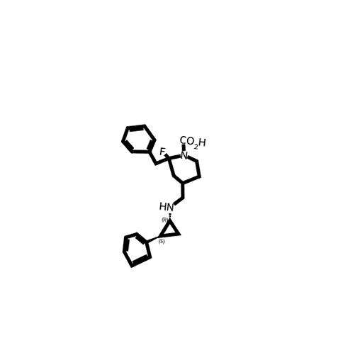 O=C(O)N1CCC(CN[C@@H]2C[C@H]2c2ccccc2)CC1(F)Cc1ccccc1